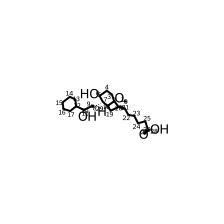 CO[C@@]12CC[C@H](O)[C@@H](/C=C/C(O)C3CCCCC3)[C@@H]1CC2=CCCCCC(=O)O